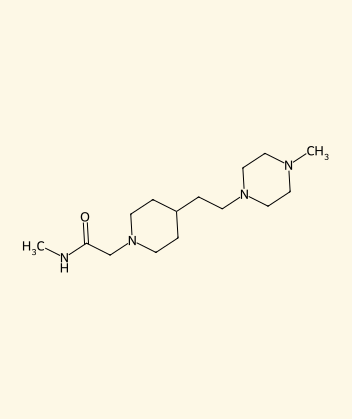 CNC(=O)CN1CCC(CCN2CCN(C)CC2)CC1